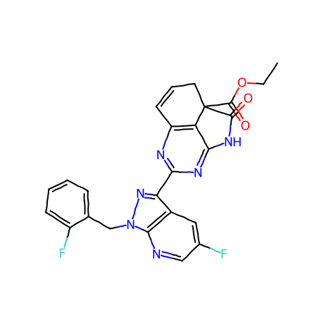 CCOC(=O)C12CC=Cc3nc(-c4nn(Cc5ccccc5F)c5ncc(F)cc45)nc(c31)NC2=O